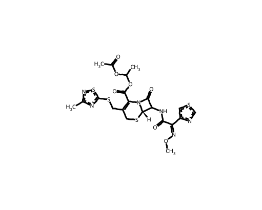 CO/N=C(\C(=O)NC1C(=O)N2C(C(=O)OC(C)OC(C)=O)=C(CSc3nc(C)ns3)CS[C@@H]12)c1cscn1